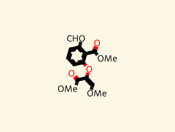 COC=C(Oc1cccc(C=O)c1C(=O)OC)C(=O)OC